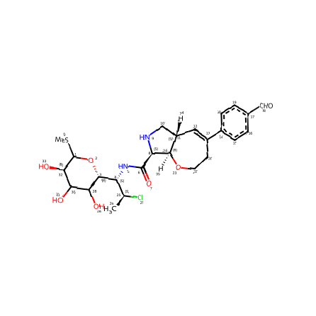 CSC1O[C@H]([C@H](NC(=O)[C@H]2NC[C@@H]3C=C(c4ccc(C=O)cc4)CCO[C@@H]23)[C@H](C)Cl)C(O)C(O)[C@H]1O